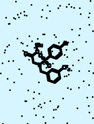 CC(C)(C)OC(=O)CN(Cc1cccc(C(F)(F)F)c1)S(=O)(=O)c1ccc(Br)cc1